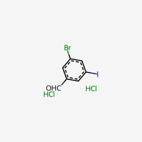 Cl.Cl.O=Cc1cc(Br)cc(I)c1